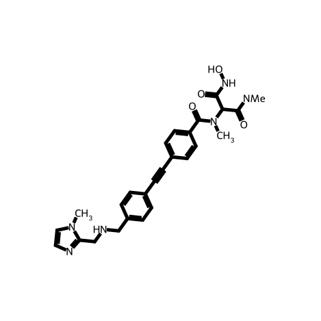 CNC(=O)C(C(=O)NO)N(C)C(=O)c1ccc(C#Cc2ccc(CNCc3nccn3C)cc2)cc1